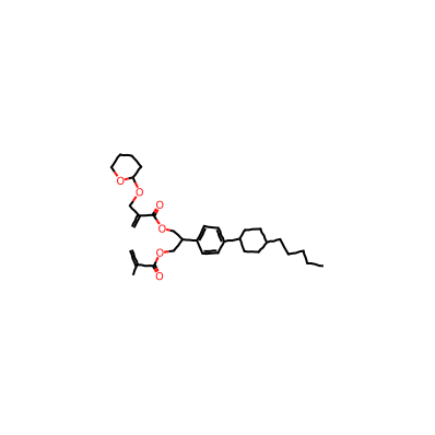 C=C(C)C(=O)OCC(COC(=O)C(=C)COC1CCCCO1)c1ccc(C2CCC(CCCCC)CC2)cc1